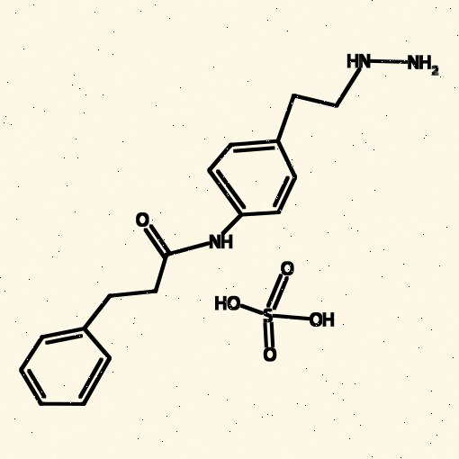 NNCCc1ccc(NC(=O)CCc2ccccc2)cc1.O=S(=O)(O)O